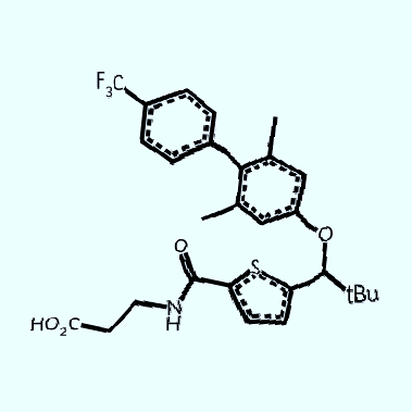 Cc1cc(OC(c2ccc(C(=O)NCCC(=O)O)s2)C(C)(C)C)cc(C)c1-c1ccc(C(F)(F)F)cc1